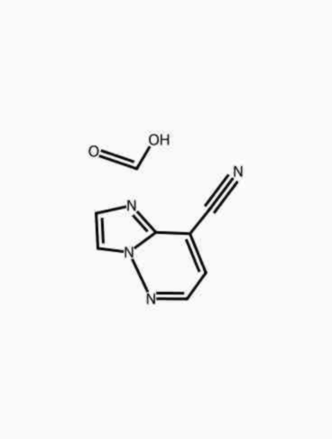 N#Cc1ccnn2ccnc12.O=CO